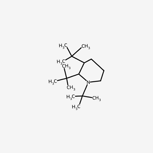 CC(C)(C)C1CCCN(C(C)(C)C)C1C(C)(C)C